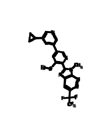 CCSc1cc(-c2cncc(C3CC3)c2)cnc1-c1nc2cc(C(F)(F)C(F)(F)F)nnc2n1C